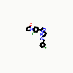 CN(Cc1cccc(F)c1)c1ccc2ncc(-c3ccc(N4CCCC4=O)c(F)c3)n2n1